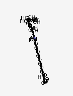 N=N/C(=C\NCCOCCOCCOCCOCCOCCOCCOCCOCCC(=O)NCCN1C(=O)C=CC1=O)CCCCNC(=O)Nc1ccc(O[C@H]2O[C@H](CCP(=O)(O)O)[C@@H](O)[C@H](O)[C@@H]2O)cc1